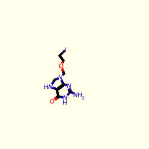 Nc1nc2c(c(=O)[nH]1)NCN2COCCI